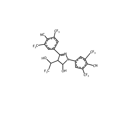 N#Cc1c(C(F)(F)F)cc(C2=NN(c3cc(C(F)(F)F)c(C#N)c(C(F)(F)F)c3)C(O)C2C(O)C(F)(F)F)cc1C(F)(F)F